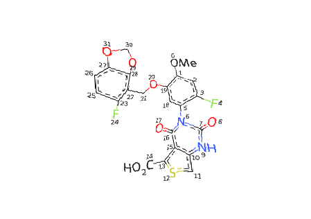 COc1cc(F)c(-n2c(=O)[nH]c3csc(C(=O)O)c3c2=O)cc1OCc1c(F)ccc2c1OCO2